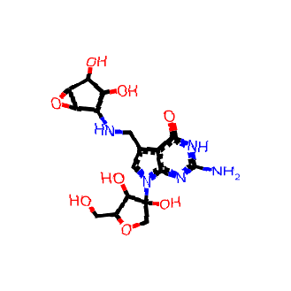 Nc1nc2c(c(CNC3C(O)C(O)C4OC34)cn2C2(O)COC(CO)C2O)c(=O)[nH]1